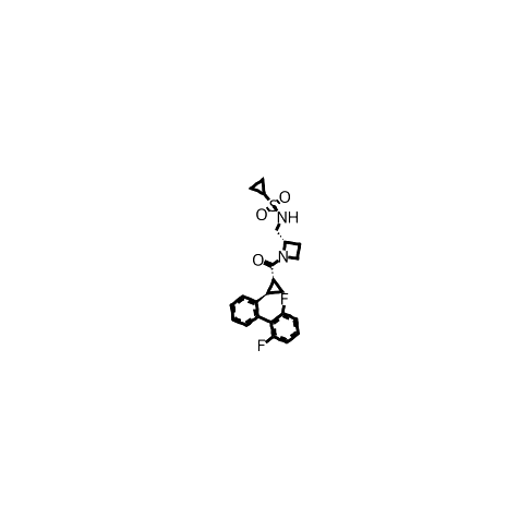 O=C([C@@H]1C[C@H]1c1ccccc1-c1c(F)cccc1F)N1CC[C@H]1CNS(=O)(=O)C1CC1